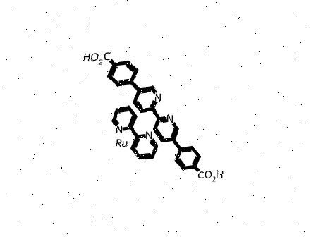 O=C(O)c1ccc(-c2ccc(-c3ccc(-c4ccc(C(=O)O)cc4)cn3)nc2)cc1.[Ru].c1ccc(-c2ccccn2)nc1